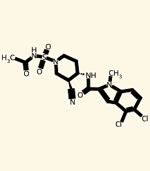 CC(=O)NS(=O)(=O)N1CC[C@H](NC(=O)c2cc3c(Cl)c(Cl)ccc3n2C)[C@@H](C#N)C1